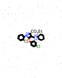 CCOC(=O)c1nn(-c2ccccc2Cl)c(Oc2ccc(Cl)cc2)c1CNC1CCCCC1